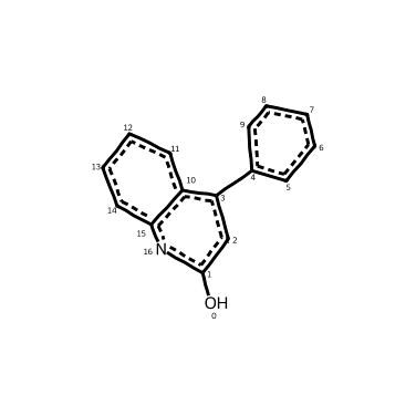 Oc1[c]c(-c2ccccc2)c2ccccc2n1